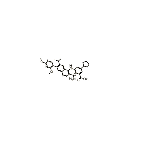 COc1ncc(-c2cc3ncc(C(N)=O)c(Nc4cc(C(=O)O)cc(C5CCCC5)c4)c3cc2C(C)C)c(OC)n1